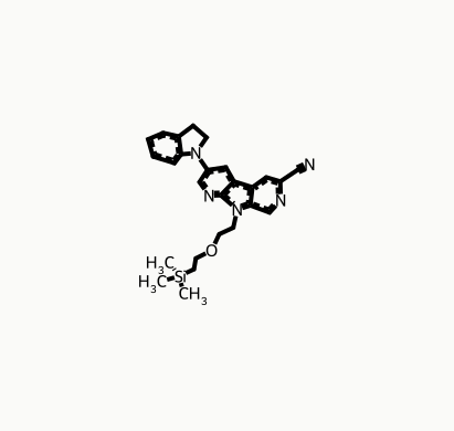 C[Si](C)(C)CCOCCn1c2cnc(C#N)cc2c2cc(N3CCc4ccccc43)cnc21